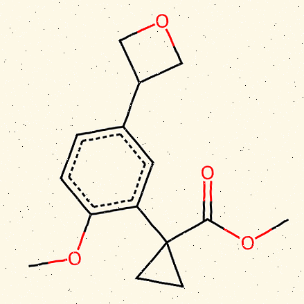 COC(=O)C1(c2cc(C3COC3)ccc2OC)CC1